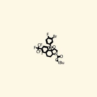 CC(C)(C)OC(=O)N1CCC2(S(=O)(=O)c3ccc(F)c(Br)c3)c3ccc(C(F)(C(F)(F)F)C(F)(F)F)cc3CCC12